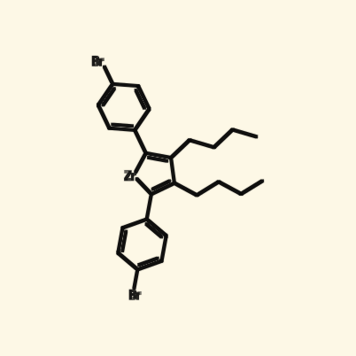 CCCCC1=[C](c2ccc(Br)cc2)[Zr][C](c2ccc(Br)cc2)=C1CCCC